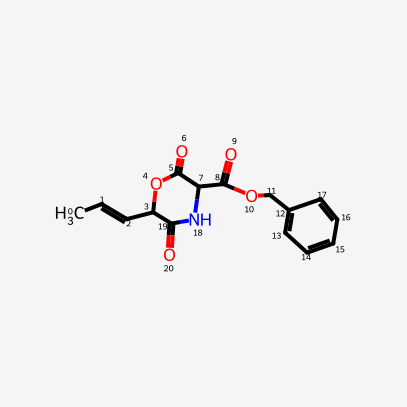 CC=CC1OC(=O)C(C(=O)OCc2ccccc2)NC1=O